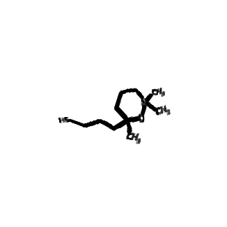 CC1(CCCS)CCC[Si](C)(C)O1